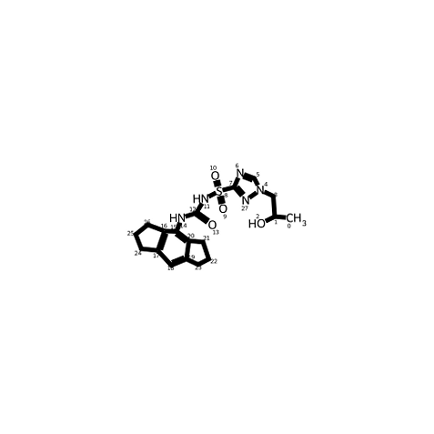 CC(O)Cn1cnc(S(=O)(=O)NC(=O)Nc2c3c(cc4c2CCC4)CCC3)n1